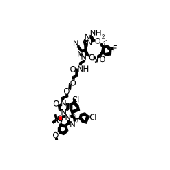 COc1ccc(C2=N[C@H](c3ccc(Cl)cc3)[C@H](c3ccc(Cl)cc3)N2C(=O)N2CCN(CCOCCOCCC(=O)NCCn3nc(C#N)c4c3CN(C)C(=O)c3ccc(F)cc3[C@@H](C)Oc3nc-4cnc3N)C(=O)C2)c(OC(C)C)c1